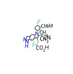 COc1cc(-n2c(C(C)(C)CC#N)c(C[C@H](F)C(=O)O)c3cc4[nH]ncc4cc32)ccc1F